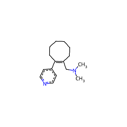 CN(C)CC1=C(c2ccncc2)CCCCCC1